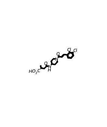 C[C@@H](CC(=O)NC1CCN(C(=O)C=Cc2cccc(Cl)c2Cl)CC1)C(=O)O